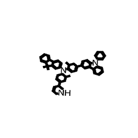 CC1CC(c2ccc3c(c2)c2ccccc2n3-c2ccccc2)=CC=C1N(c1ccc2c(c1)C(C)(C)c1ccccc1-2)C1CC=C(C2C=CCNC2)CC1C